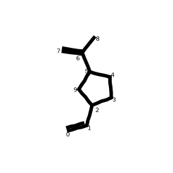 C=CC1CCC(C(=C)C)C1